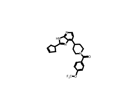 O=C(c1ccc(OC(F)(F)F)cc1)N1CCC(c2ccnc3[nH]c(C4CC=CC4)nc23)CC1